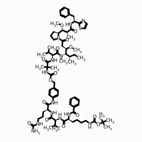 CC[C@H](C)[C@@H]([C@@H](CC(=O)N1CCC[C@H]1[C@H](OC)[C@@H](C)C(=O)N[C@@H](Cc1ccccc1)c1nccs1)OC)N(C)C(=O)[C@@H](NC(=O)C(C)(C)NC(=O)OCc1ccc(NC(=O)[C@H](CCCNC(N)=O)NC(=O)[C@@H](NC(=O)[C@H](CCCCNC(=O)OC(C)(C)C)NC(=O)c2ccccc2)C(C)C)cc1)C(C)C